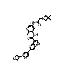 Cc1ncc(NC(=O)CN2CC(C)(C)C2)cc1NC(=O)c1cnn2cc(-c3cnn(C4COC4)c3)sc12